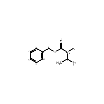 CCC(N)N(C)C(=O)OCc1ccccc1